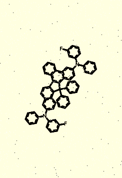 Fc1cccc(N(c2ccccc2)c2ccc3c4c(ccc3c2)-c2c(c3ccc(N(c5ccccc5)c5cccc(F)c5)cc3c3ccccc23)C4(c2ccccc2)c2ccccc2)c1